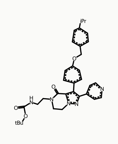 CC(C)c1ccc(COc2ccc(-c3c(-c4ccncc4)nn4c3C(=O)N(CCNC(=O)OC(C)(C)C)CC4)cc2)cc1